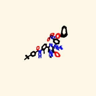 Cc1c(NC(=O)c2ccc(C(C)(C)C)cc2)cccc1-c1cn(C)c(=O)c(Nc2ccc(Oc3ccccc3)c([N+](=O)[O-])c2)n1